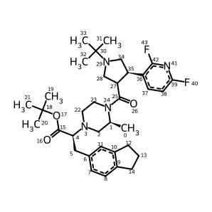 C[C@H]1CN([C@@H](Cc2ccc3c(c2)CCC3)C(=O)OC(C)(C)C)CCN1C(=O)C1CN(C(C)(C)C)C[C@H]1c1ccc(F)nc1F